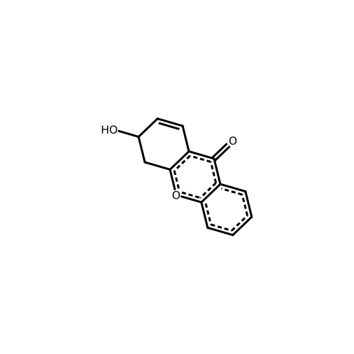 O=c1c2c(oc3ccccc13)CC(O)C=C2